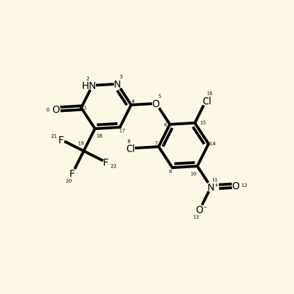 O=c1[nH]nc(Oc2c(Cl)cc([N+](=O)[O-])cc2Cl)cc1C(F)(F)F